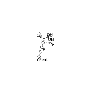 C=C(C)C(=O)OCCCc1cc(-c2ccc(C3C=CC(c4ccc(CCCCC)cc4)=CC3)c(CC)c2)cc(CCCOC(=O)C(=C)C)c1OCCC(CC)(CO)CO